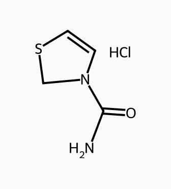 Cl.NC(=O)N1C=CSC1